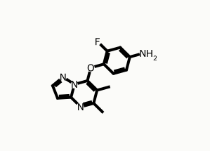 Cc1nc2ccnn2c(Oc2ccc(N)cc2F)c1C